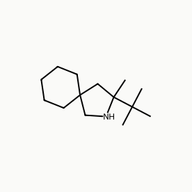 CC(C)(C)C1(C)CC2(CCCCC2)CN1